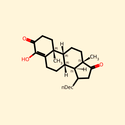 CCCCCCCCCCC1CC(=O)[C@@]2(C)CC[C@@H]3[C@@H](CCC4=C(O)C(=O)CC[C@@]43C)[C@H]12